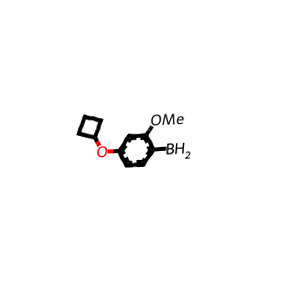 Bc1ccc(OC2CCC2)cc1OC